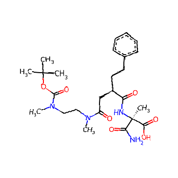 CN(CCN(C)C(=O)OC(C)(C)C)C(=O)C[C@@H](CCc1ccccc1)C(=O)N[C@](C)(C(N)=O)C(=O)O